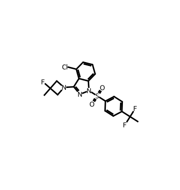 CC1(F)CN(c2nn(S(=O)(=O)c3ccc(C(C)(F)F)cc3)c3cccc(Cl)c23)C1